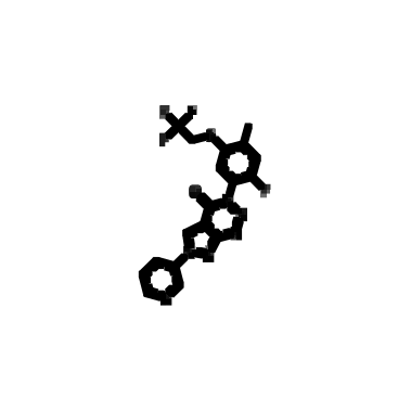 Cc1cc(F)c(-n2nnc3nn(-c4cccnc4)cc3c2=O)cc1SCC(F)(F)F